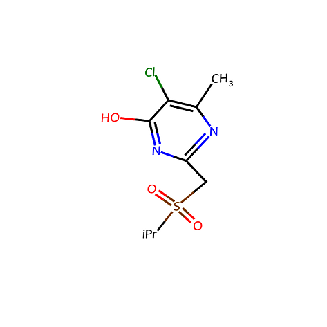 Cc1nc(CS(=O)(=O)C(C)C)nc(O)c1Cl